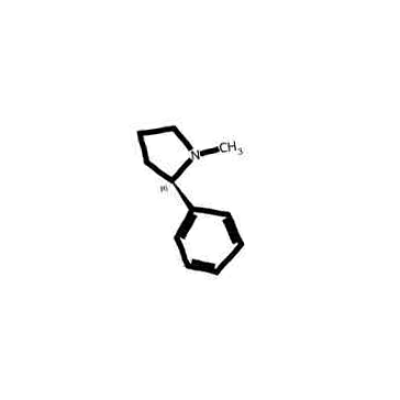 CN1CCC[C@@H]1c1c[c]ccc1